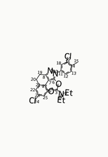 CCN(CC)C(=O)Oc1c2c(nn1-c1ccc(C)c(Cl)c1)CCc1cc(Cl)ccc1-2